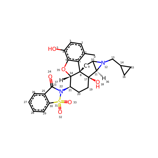 Cc1ccc(O)c2c1[C@]13CC4[C@@H](N4CC4CC4)[C@]1(O)CC[C@@H](N1C(=O)c4ccccc4S1(=O)=O)[C@@H]3O2